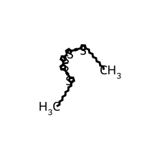 CCCCCCCCCCc1ccc(C#Cc2ccc(-c3ccc(-c4ccc(C#Cc5ccc(CCCCCCCCCC)s5)s4)s3)s2)s1